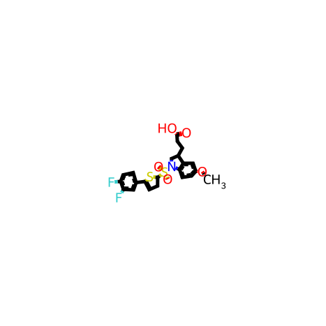 COc1ccc2c(c1)C(CCC(=O)O)CN2S(=O)(=O)C1CC=C(c2ccc(F)c(F)c2)S1